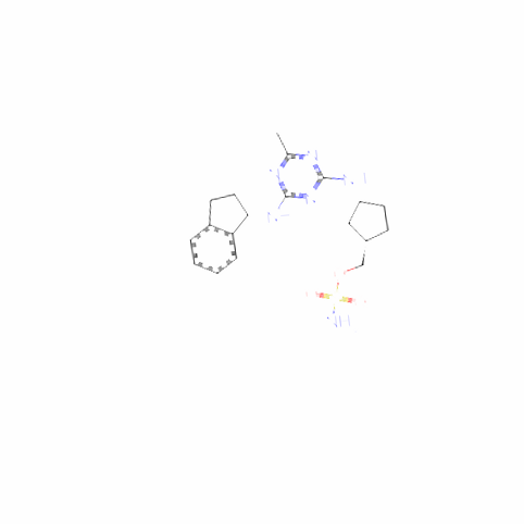 Cc1nc(N[C@@H]2CC[C@@H](COS(N)(=O)=O)C2)nc(N[C@H]2CCc3ccccc32)n1